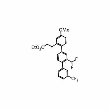 CCOC(=O)CCc1cc(OC)ccc1-c1ccc(-c2cccc(C(F)(F)F)c2)c(C(F)F)c1